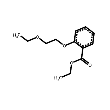 CCOCCOc1ccccc1C(=O)OCC